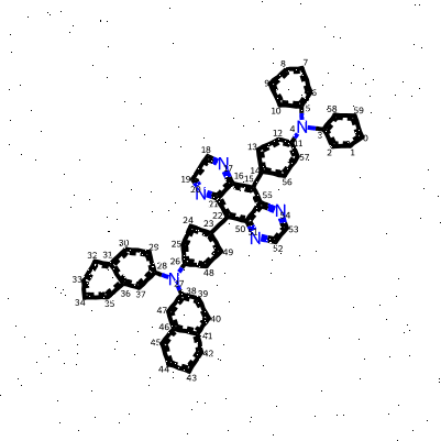 c1ccc(N(c2ccccc2)c2ccc(-c3c4nccnc4c(-c4ccc(N(c5ccc6ccccc6c5)c5ccc6ccccc6c5)cc4)c4nccnc34)cc2)cc1